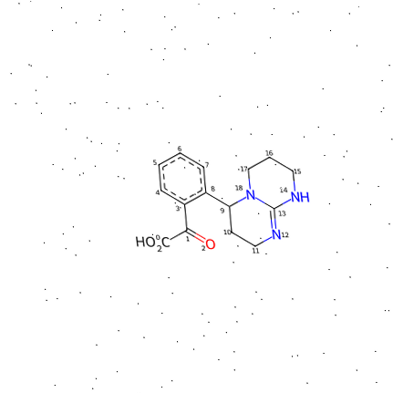 O=C(O)C(=O)c1ccccc1C1CCN=C2NCCCN21